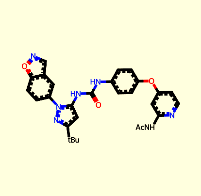 CC(=O)Nc1cc(Oc2ccc(NC(=O)Nc3cc(C(C)(C)C)nn3-c3ccc4oncc4c3)cc2)ccn1